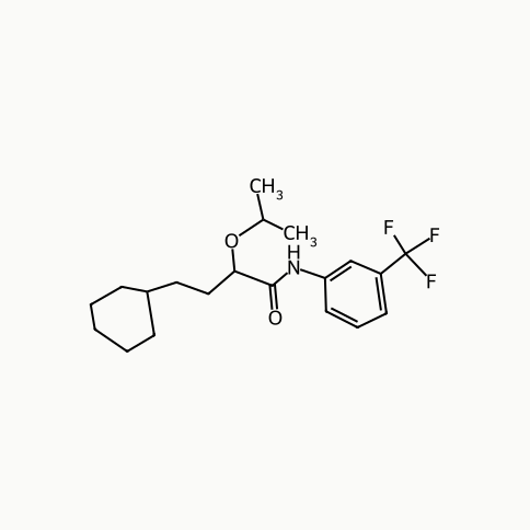 CC(C)OC(CCC1CCCCC1)C(=O)Nc1cccc(C(F)(F)F)c1